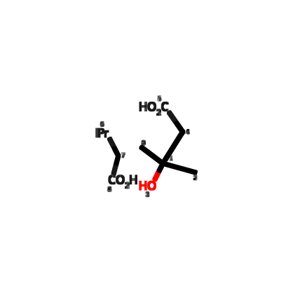 CC(C)(O)CC(=O)O.CC(C)CC(=O)O